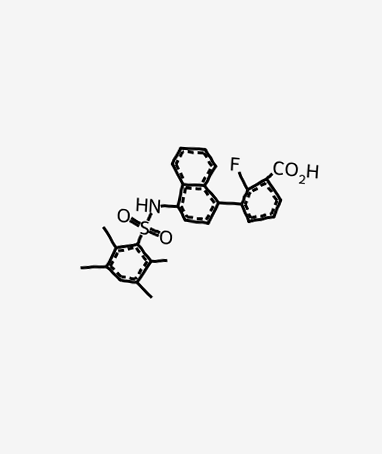 Cc1cc(C)c(C)c(S(=O)(=O)Nc2ccc(-c3cccc(C(=O)O)c3F)c3ccccc23)c1C